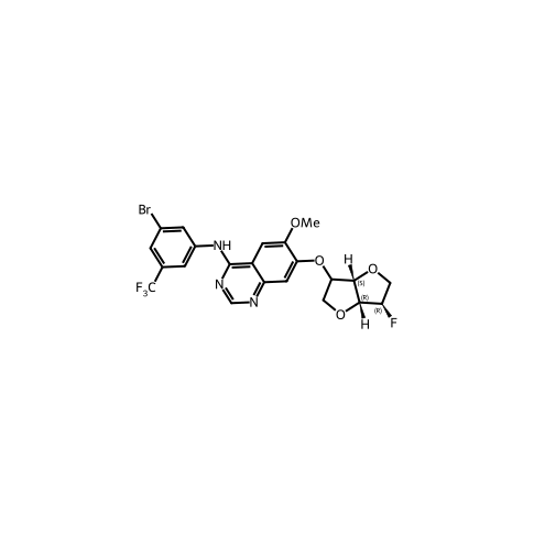 COc1cc2c(Nc3cc(Br)cc(C(F)(F)F)c3)ncnc2cc1OC1CO[C@H]2[C@H](F)CO[C@@H]12